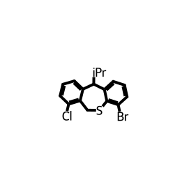 CC(C)C1c2cccc(Cl)c2CSc2c(Br)cccc21